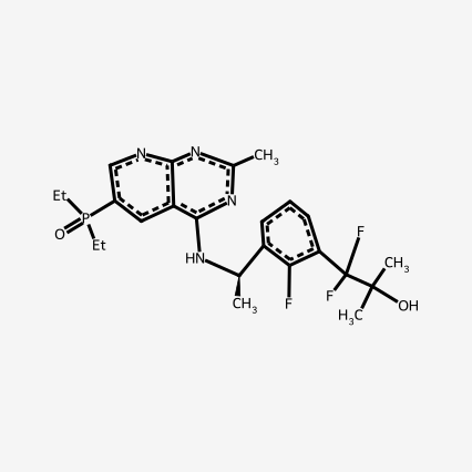 CCP(=O)(CC)c1cnc2nc(C)nc(N[C@H](C)c3cccc(C(F)(F)C(C)(C)O)c3F)c2c1